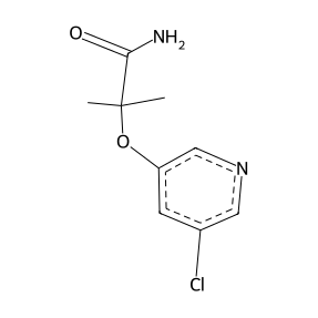 CC(C)(Oc1cncc(Cl)c1)C(N)=O